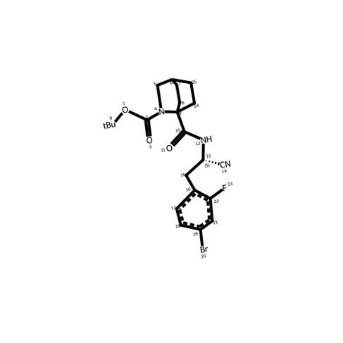 CC(C)(C)OC(=O)N1CC2CCC1(C(=O)N[C@H](C#N)Cc1ccc(Br)cc1F)CC2